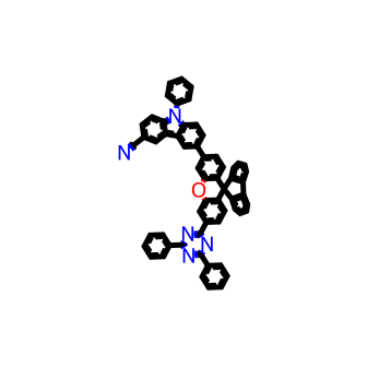 N#Cc1ccc2c(c1)c1cc(-c3ccc4c(c3)Oc3cc(-c5nc(-c6ccccc6)nc(-c6ccccc6)n5)ccc3C43c4ccccc4-c4ccccc43)ccc1n2-c1ccccc1